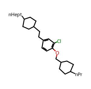 CCCCCCCC1CCC(CCc2ccc(OCC3CCC(CCC)CC3)c(Cl)c2)CC1